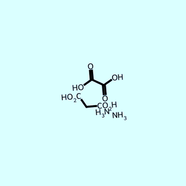 N.N.O=C(O)C(=O)O.O=C(O)CC(=O)O